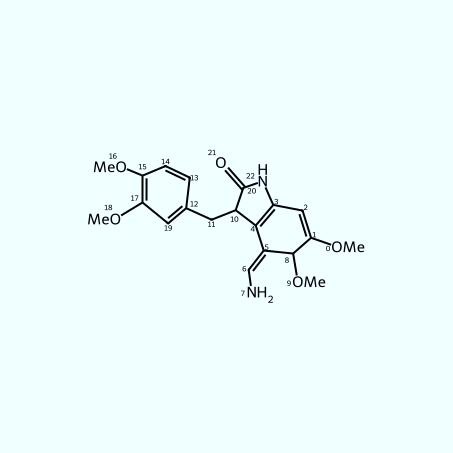 COC1=CC2=C(C(=CN)C1OC)C(Cc1ccc(OC)c(OC)c1)C(=O)N2